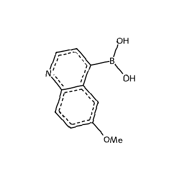 COc1ccc2nccc(B(O)O)c2c1